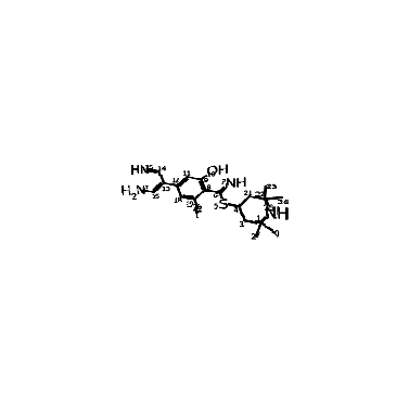 CC1(C)CC(SC(=N)c2c(O)cc(/C(C=N)=C/N)cc2F)CC(C)(C)N1